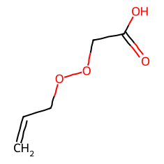 C=CCOOCC(=O)O